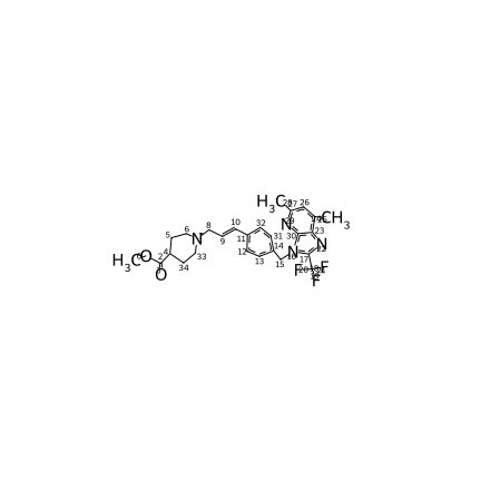 COC(=O)C1CCN(C/C=C/c2ccc(Cn3c(C(F)(F)F)nc4c(C)cc(C)nc43)cc2)CC1